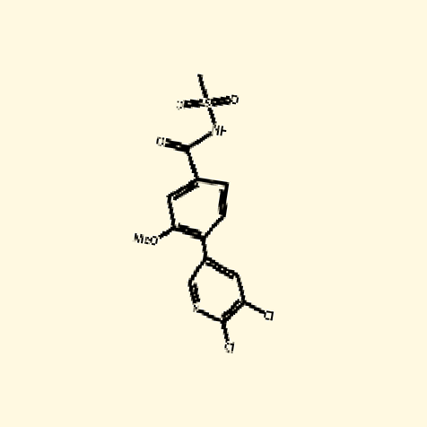 COc1cc(C(=O)NS(C)(=O)=O)ccc1-c1cnc(Cl)c(Cl)c1